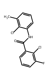 Cc1cccc(NC(=O)c2cccc(F)c2Cl)c1Cl